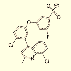 CCS(=O)(=O)c1cc(F)cc(Oc2ccc(Cl)c(-c3cc(C)nc4c(Cl)cccc34)c2)c1